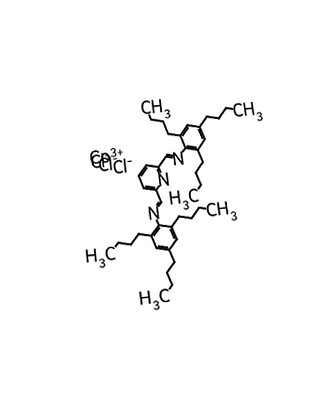 CCCCc1cc(CCCC)c(N=Cc2cccc(C=Nc3c(CCCC)cc(CCCC)cc3CCCC)n2)c(CCCC)c1.[Cl-].[Cl-].[Cl-].[Co+3]